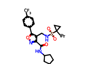 CC(C)C1(S(=O)(=O)NCc2c(C(=O)NC3CCCC3)noc2-c2ccc(C(F)(F)F)cc2)CC1